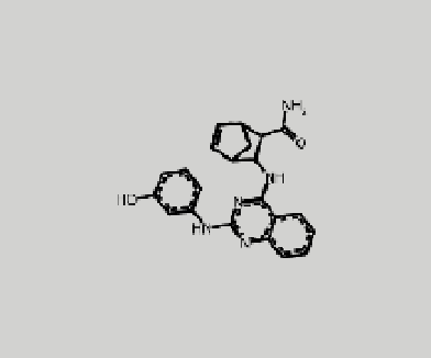 NC(=O)C1C2C=CC(C2)C1Nc1nc(Nc2cccc(O)c2)nc2ccccc12